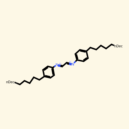 CCCCCCCCCCCCCCCc1ccc(/N=C/C=N/c2ccc(CCCCCCCCCCCCCCC)cc2)cc1